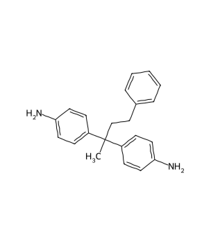 CC(CCc1ccccc1)(c1ccc(N)cc1)c1ccc(N)cc1